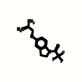 C=C(C)COc1ccc2c(c1)CCN2C(=O)C(F)(F)F